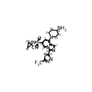 N#CC1(NS(=O)(=O)c2cc(N3CCC(N)CC3)c3cnc(-c4nnc(C(F)(F)F)s4)n3c2)CC1